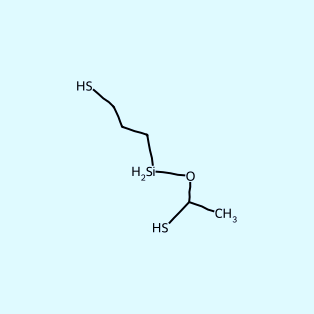 CC(S)O[SiH2]CCCS